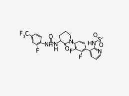 CS(=O)(=O)Nc1ncccc1-c1ccc(N2CCCC(NC(=O)Nc3ccc(C(F)(F)F)cc3F)C2=O)c(F)c1F